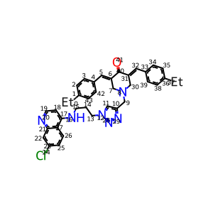 CCc1ccc(/C=C2\CN(Cc3cn(CCCNc4ccnc5cc(Cl)ccc45)nn3)C/C(=C\c3ccc(CC)cc3)C2=O)cc1